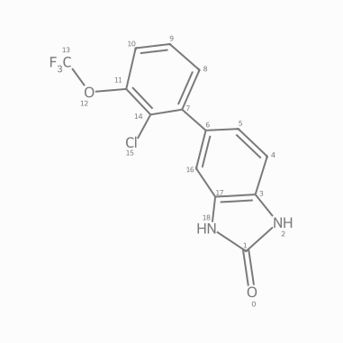 O=c1[nH]c2ccc(-c3cccc(OC(F)(F)F)c3Cl)cc2[nH]1